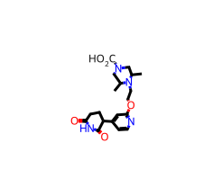 CC1CN(C(=O)O)CC(C)N1CCOc1cc(C2CCC(=O)NC2=O)ccn1